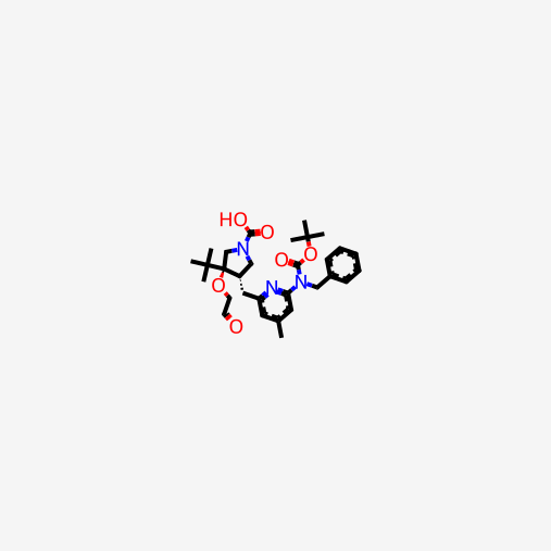 Cc1cc(C[C@H]2CN(C(=O)O)C[C@@]2(OCC=O)C(C)(C)C)nc(N(Cc2ccccc2)C(=O)OC(C)(C)C)c1